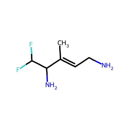 C/C(=C\CN)C(N)C(F)F